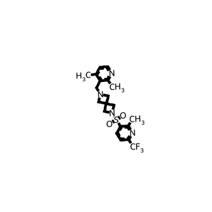 Cc1ccnc(C)c1CN1CC2(C1)CN(S(=O)(=O)c1ccc(C(F)(F)F)nc1C)C2